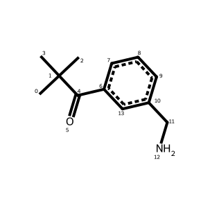 CC(C)(C)C(=O)c1cccc(CN)c1